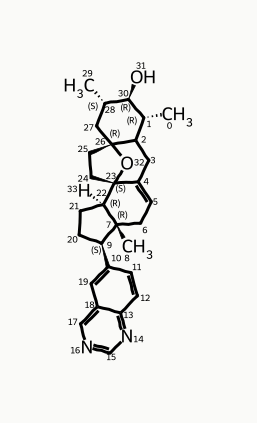 C[C@@H]1C2CC3=CC[C@]4(C)[C@@H](c5ccc6ncncc6c5)CC[C@H]4[C@@]34CC[C@]2(C[C@H](C)[C@H]1O)O4